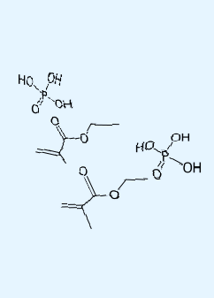 C=C(C)C(=O)OCC.C=C(C)C(=O)OCC.O=P(O)(O)O.O=P(O)(O)O